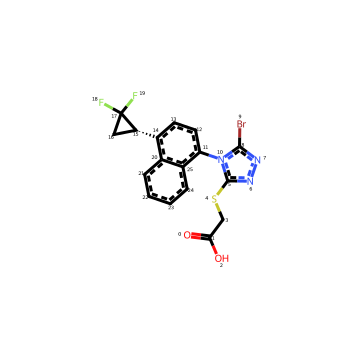 O=C(O)CSc1nnc(Br)n1-c1ccc([C@@H]2CC2(F)F)c2ccccc12